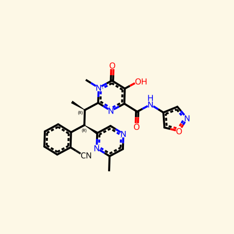 Cc1cncc([C@@H](c2ccccc2C#N)[C@@H](C)c2nc(C(=O)Nc3cnoc3)c(O)c(=O)n2C)n1